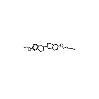 CCCCCOC1CCC2CC(C3CCc4cc(OCC)ccc4C3)CCC2C1